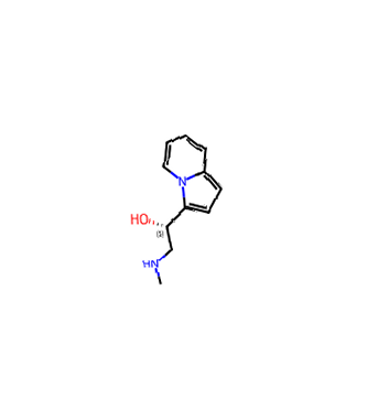 CNC[C@H](O)c1ccc2ccccn12